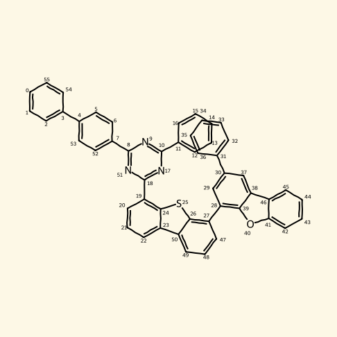 c1ccc(-c2ccc(-c3nc(-c4ccccc4)nc(-c4cccc5c4sc4c(-c6cc(-c7ccccc7)cc7c6oc6ccccc67)cccc45)n3)cc2)cc1